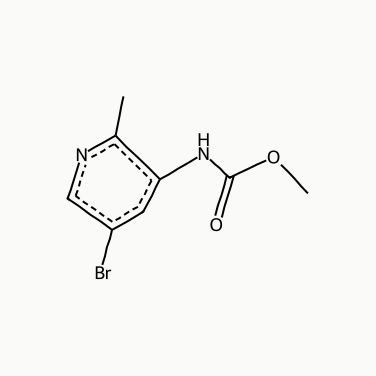 COC(=O)Nc1cc(Br)cnc1C